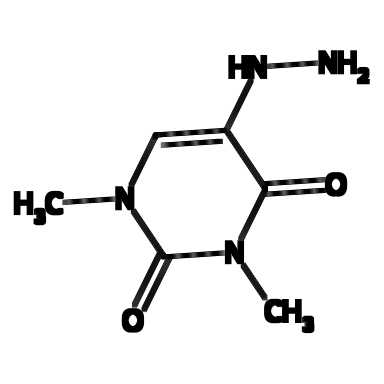 Cn1cc(NN)c(=O)n(C)c1=O